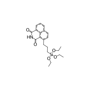 CCO[Si](CCCc1ccc2cccc3c2c1C(=O)NC3=O)(OCC)OCC